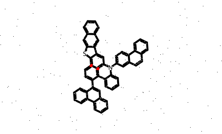 c1ccc(-c2cc3ccccc3c3ccccc23)c(-c2ccccc2N(c2ccc3c(ccc4ccccc43)c2)c2ccc3sc4cc5ccccc5cc4c3c2)c1